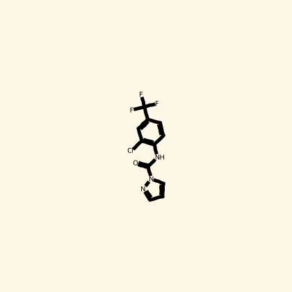 O=C(Nc1ccc(C(F)(F)F)cc1Cl)n1cc[c]n1